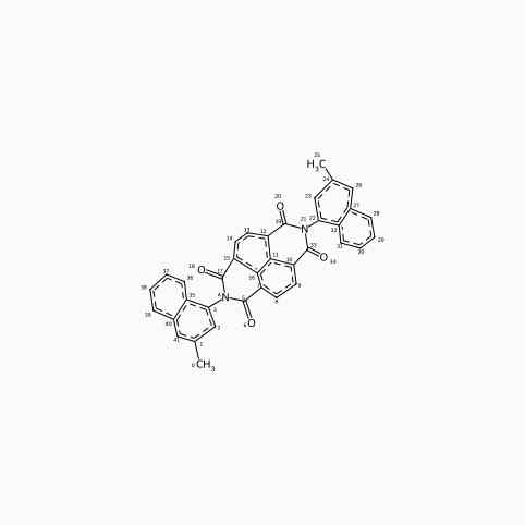 Cc1cc(N2C(=O)c3ccc4c5c(ccc(c35)C2=O)C(=O)N(c2cc(C)cc3ccccc23)C4=O)c2ccccc2c1